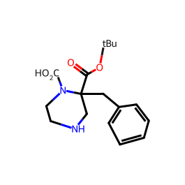 CC(C)(C)OC(=O)C1(Cc2ccccc2)CNCCN1C(=O)O